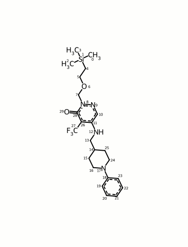 C[Si](C)(C)CCOCn1ncc(NCC2CCN(c3ccccc3)CC2)c(C(F)(F)F)c1=O